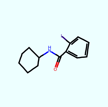 O=C(NC1CCCCC1)c1ccccc1I